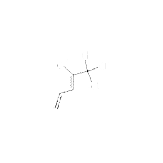 C=CC=C(Cl)C(Cl)(Cl)Cl